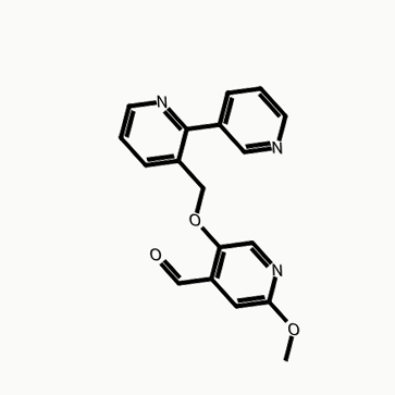 COc1cc(C=O)c(OCc2cccnc2-c2cccnc2)cn1